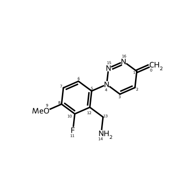 C=C1C=CN(c2ccc(OC)c(F)c2CN)N=N1